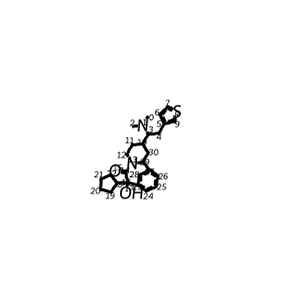 CN(C)C(Cc1ccsc1)C1CCN2C(=O)C(O)(C3CCCC3)c3cccc(c3)C2C1